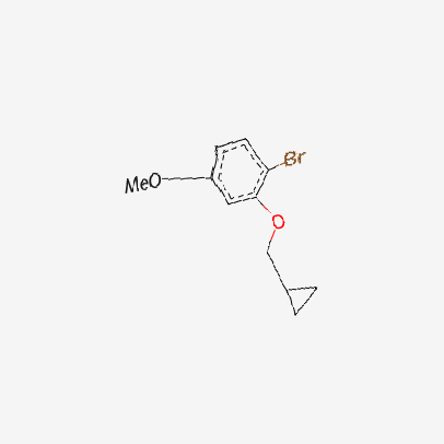 COc1ccc(Br)c(OCC2CC2)c1